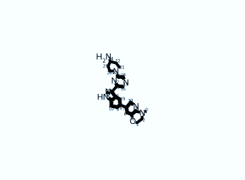 CN1CCOc2cc(-c3ccc4[nH]nc(-c5cncc(N6CCC(N)CC6)n5)c4c3)cnc21